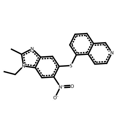 CCn1c(C)nc2cc(Sc3cccc4cnccc34)c([N+](=O)[O-])cc21